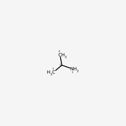 C[C](C)N